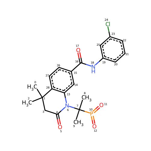 CC1(C)CC(=O)N(C(C)(C)P(=O)=O)c2cc(C(=O)Nc3cccc(Cl)c3)ccc21